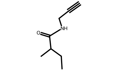 C#CCNC(=O)C(C)CC